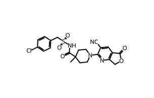 CC1(C(=O)NS(=O)(=O)Cc2ccc(Cl)cc2)CCN(c2nc3c(cc2C#N)C(=O)OC3)CC1